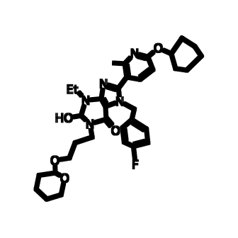 CCN1c2nc(-c3ccc(OC4CCCCC4)nc3C)n(Cc3ccc(F)cc3)c2C(=O)N(CCCOC2CCCCO2)C1O